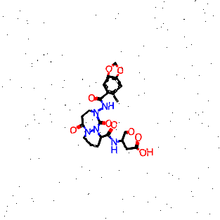 Cc1cc2c(cc1C(=O)NN1CCC(=O)N3CCCC(C(=O)NC(C=O)CC(=O)O)N3C1=O)OCO2